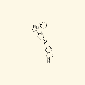 c1cc(-c2ccc(OCc3ccc4c(c3)CNCC4)cn2)n(C2CCCCO2)n1